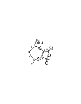 CCCCC1CCCC(C)SC2=C(S1)C(=O)OC2=O